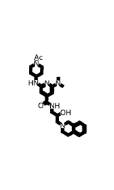 CC(=O)N1CCC(Nc2cc(C(=O)NCC(O)CN3CCc4ccccc4C3)cc(N(C)C)n2)CC1